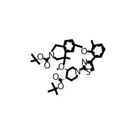 CO[C@@H]1CN(c2nc(-c3cccc(C)c3OCc3ccc4c(c3)C(C)(C)CN(C(=O)OC(C)(C)C)CC4)cs2)CC[C@@H]1C(=O)OC(C)(C)C